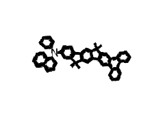 CC1(C)c2cc(N(c3ccccc3)c3cccc4ccccc34)ccc2-c2cc3c(cc21)-c1cc2c4ccccc4c4ccccc4c2cc1C3(C)C